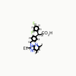 CCc1nc2c(C)cc(C)nc2n1Cc1ccc(C(CC(=O)O)c2ccc(F)cc2F)cc1